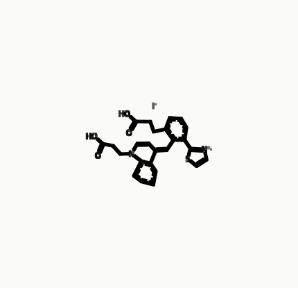 O=C(O)CCc1cccc(C2=[N+]C=CS2)c1C=C1C=CN(CCC(=O)O)c2ccccc21.[I-]